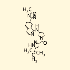 Cc1nc(-c2ccc3ccnc(N[C@H]4CCN(C(=O)c5cc(C(C)(C)C)[nH]n5)C4)c3c2)no1